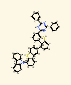 c1ccc(-c2nc(-c3ccccc3)nc(-c3cccc4c3sc3cccc(-c5ccc6sc7c(-n8c9ccccc9c9ccccc98)cccc7c6c5)c34)n2)cc1